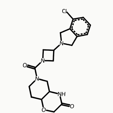 O=C1COC2CCN(C(=O)N3CC(N4Cc5cccc(Cl)c5C4)C3)CC2N1